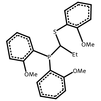 CCC(Sc1ccccc1OC)P(c1ccccc1OC)c1ccccc1OC